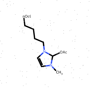 CCCCCCCCCCCCN1C=CN(C)C1OC(C)=O